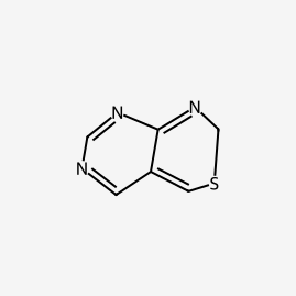 C1=c2cncnc2=NCS1